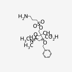 CN(C)C(=O)C[C@@](OCc1ccccc1)(C(=O)O)C(C)(C)COS(=O)(=O)CCCN